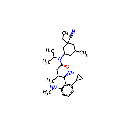 CCC1(C#N)CC(C)CC(N(C(=O)CC(C)C(=N)c2c(NC)cccc2C2CC2)C(C)C)C1